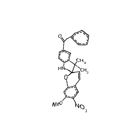 COc1cc2c(cc1[N+](=O)[O-])C=CC1(Nc3ccc(C(=O)c4ccccc4)cc3C1(C)C)O2